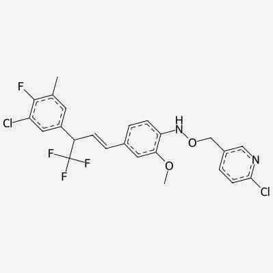 COc1cc(/C=C/C(c2cc(C)c(F)c(Cl)c2)C(F)(F)F)ccc1NOCc1ccc(Cl)nc1